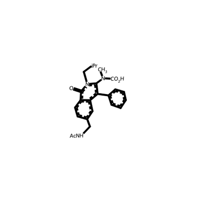 CC(=O)NCc1ccc2c(=O)n(CC(C)C)c(N(C)C(=O)O)c(-c3ccccc3)c2c1